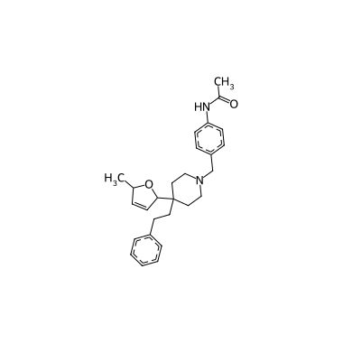 CC(=O)Nc1ccc(CN2CCC(CCc3ccccc3)(C3C=CC(C)O3)CC2)cc1